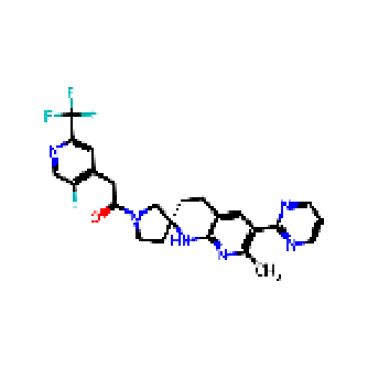 Cc1nc2c(cc1-c1ncccn1)CC[C@@]1(CCN(C(=O)Cc3cc(C(F)(F)F)ncc3F)C1)N2